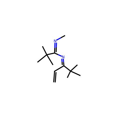 C=C/C(=N\C(=N/C)C(C)(C)C)C(C)(C)C